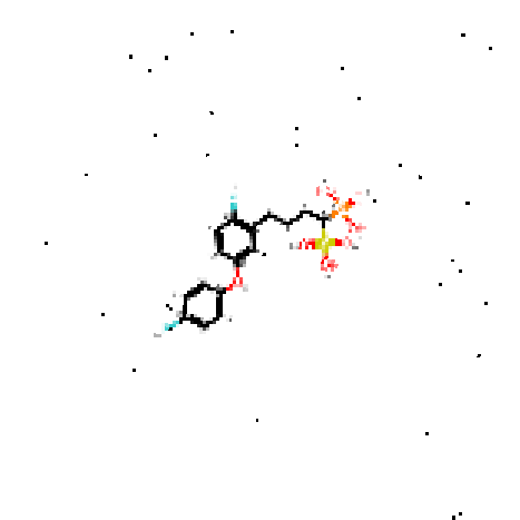 O=P(O)(O)C(CCCc1cc(Oc2ccc(F)cc2)ccc1F)S(=O)(=O)O